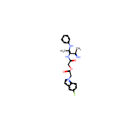 CC(=N)/C(NC(=O)COC(=O)Cn1ccc2cc(F)ccc21)=C(/C)Nc1ccccc1